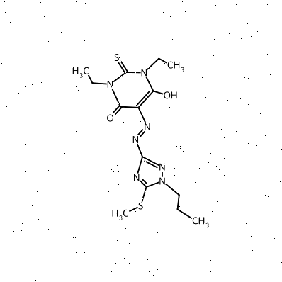 CCCn1nc(N=Nc2c(O)n(CC)c(=S)n(CC)c2=O)nc1SC